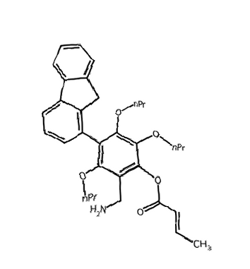 CC=CC(=O)Oc1c(CN)c(OCCC)c(-c2cccc3c2Cc2ccccc2-3)c(OCCC)c1OCCC